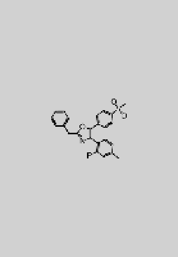 Cc1ccc(-c2nc(Cc3ccccc3)oc2-c2ccc(S(C)(=O)=O)cc2)c(F)c1